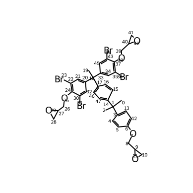 CC(C)(c1ccc(OCC2CO2)cc1)c1ccc(C(C)(c2cc(Br)c(OCC3CO3)c(Br)c2)c2cc(Br)c(OCC3CO3)c(Br)c2)cc1